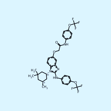 C[C@@H]1C[C@@H](n2c(Nc3ccc(OC(F)(F)F)cc3)nc3cc(OCC(=O)Nc4ccc(OC(F)(F)F)cc4)ccc32)CC(C)(C)C1